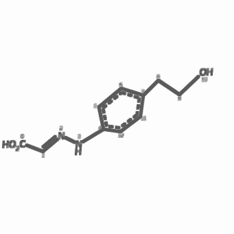 O=C(O)/C=N/Nc1ccc(CCO)cc1